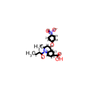 CCCC(=O)N1c2ccc(C(=O)O)cc2[C@H](Oc2ccc([N+](=O)[O-])cc2)C[C@@H]1C